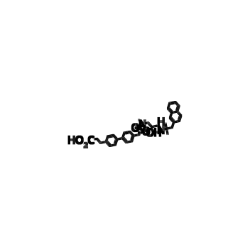 CN(CC(O)CNC(C)(C)Cc1ccc2ccccc2c1)S(=O)(=O)Cc1ccc(-c2ccc(CCC(=O)O)cc2)cc1